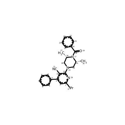 CC(C)c1cc(-c2ccccc2)c(C#N)c(N2C[C@@H](C)N(C(=O)c3ccccc3)[C@@H](C)C2)n1